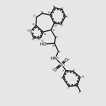 Cc1ccc(S(=O)(=O)NCC(O)CC2c3ccccc3CCc3sccc32)cc1